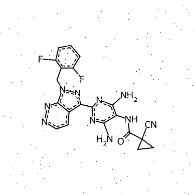 N#CC1(C(=O)Nc2c(N)nc(-c3nn(Cc4c(F)cccc4F)c4nnccc34)nc2N)CC1